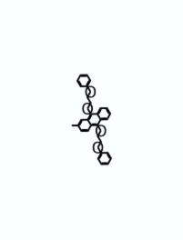 Cc1ccc2c(OCCOc3ccccc3)c3ccccc3c(OCCOc3ccccc3)c2c1